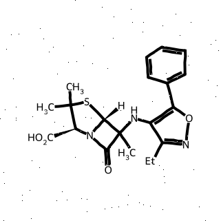 CCc1noc(-c2ccccc2)c1NC1(C)C(=O)N2[C@@H](C(=O)O)C(C)(C)S[C@@H]21